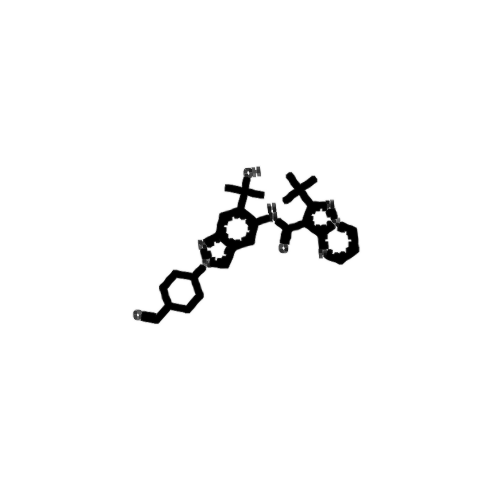 CC(C)(C)c1nn2cccnc2c1C(=O)Nc1cc2cn(C3CCC(C=O)CC3)nc2cc1C(C)(C)O